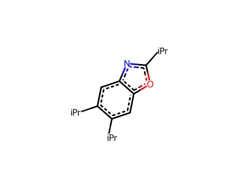 CC(C)c1nc2cc(C(C)C)c(C(C)C)cc2o1